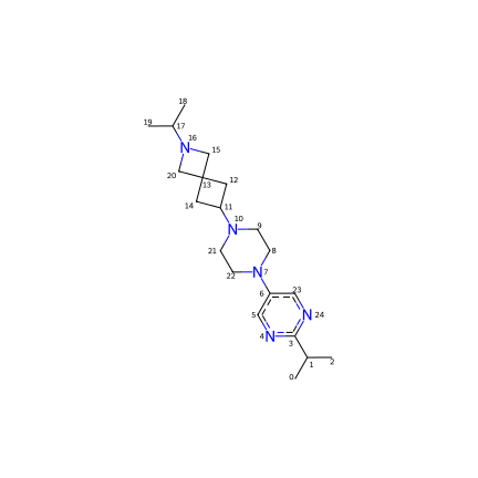 CC(C)c1ncc(N2CCN(C3CC4(C3)CN(C(C)C)C4)CC2)cn1